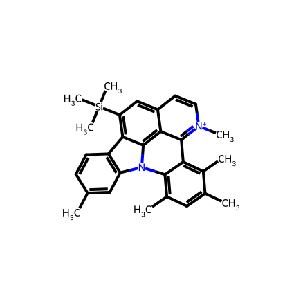 Cc1ccc2c3c([Si](C)(C)C)cc4cc[n+](C)c5c6c(C)c(C)cc(C)c6n(c2c1)c3c45